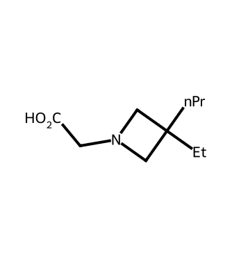 CCCC1(CC)CN(CC(=O)O)C1